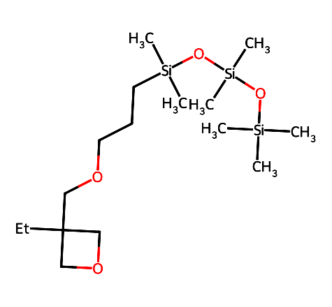 CCC1(COCCC[Si](C)(C)O[Si](C)(C)O[Si](C)(C)C)COC1